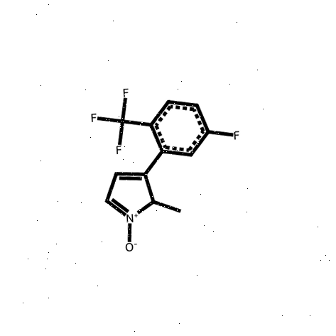 CC1C(c2cc(F)ccc2C(F)(F)F)=CC=[N+]1[O-]